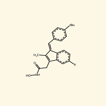 CC1=C(CC(=O)NO)c2cc(F)ccc2C1=Cc1ccc(C(C)(C)C)cc1